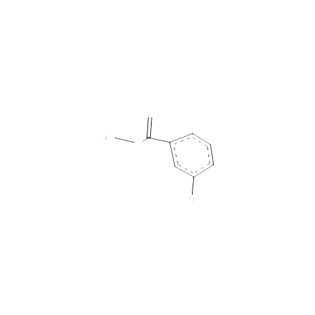 CCCOC(=O)c1cccc([N+](=O)[O-])c1